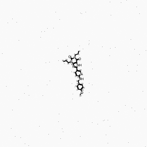 CCCn1c(=O)c2[nH]c(-c3ccc(NCc4ccc(OC)cc4)nc3)nc2n(CCC)c1=O